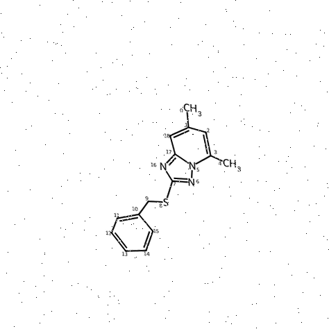 Cc1cc(C)n2nc(SCc3ccccc3)nc2c1